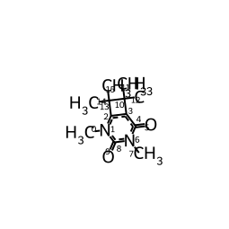 Cn1c2c(c(=O)n(C)c1=O)C(C)(C)C2(C)C